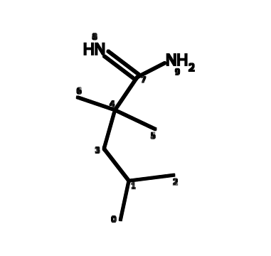 CC(C)CC(C)(C)C(=N)N